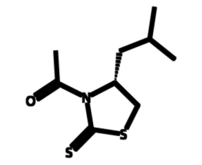 CC(=O)N1C(=S)SC[C@H]1CC(C)C